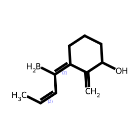 BC(/C=C\C)=C1\CCCC(O)C1=C